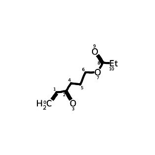 C=CC(=O)CCCOC(=O)CC